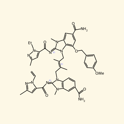 C=Cn1nc(C)cc1C(=O)/N=c1\n(C)c2cc(C(N)=O)ccc2n1C/C(C)=C(\C)Cn1/c(=N/C(=O)c2cc(C)nn2CC)n(C)c2cc(C(N)=O)cc(OCc3ccc(OC)cc3)c21